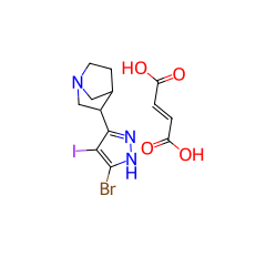 Brc1[nH]nc(C2CN3CCC2C3)c1I.O=C(O)C=CC(=O)O